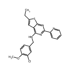 CCc1cc2c(NCc3ccc(OC)c(Cl)c3)nc(-c3ccccn3)nc2s1